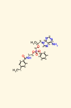 CCc1ccc(C(=O)NCCOP(=O)(COC(C)Cn2cnc3c(N)ncnc32)Oc2ccccc2)cc1